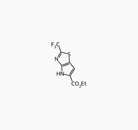 CCOC(=O)c1cc2sc(C(F)(F)F)nc2[nH]1